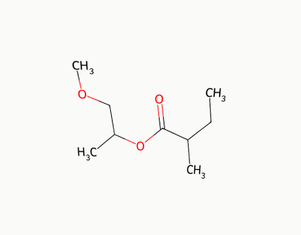 CCC(C)C(=O)OC(C)COC